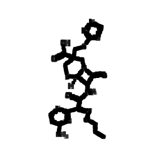 CCCON=C(C(=O)NC1C(=O)N2CC(CSc3nncs3)(C(=O)O)CS[C@H]12)c1nccc(N)n1